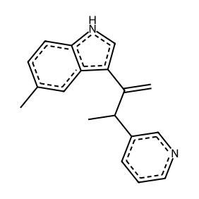 C=C(c1c[nH]c2ccc(C)cc12)C(C)c1cccnc1